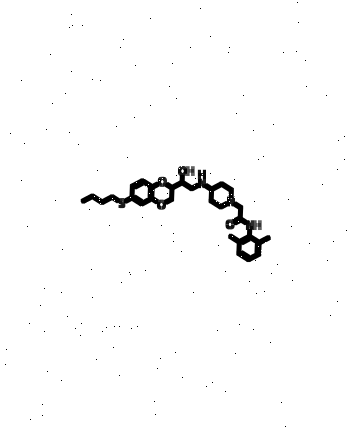 CCCCSc1ccc2c(c1)OCC(C(O)CNC1CCN(CC(=O)Nc3c(C)cccc3C)CC1)O2